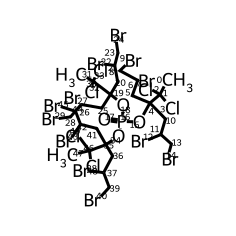 CC(Cl)(Cl)C(CC(Br)CBr)(CC(Br)CBr)OP(=O)(OC(CC(Br)CBr)(CC(Br)CBr)C(C)(Cl)Cl)OC(CC(Br)CBr)(CC(Br)CBr)C(C)(Cl)Cl